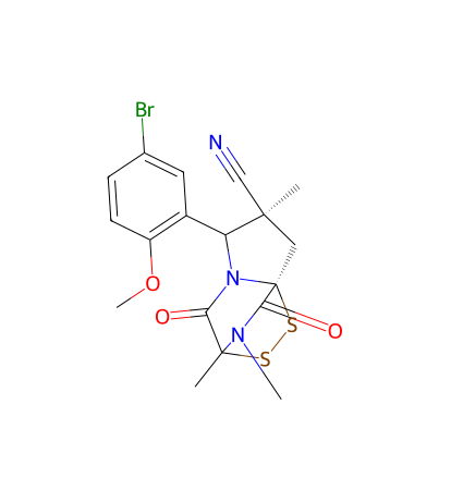 COc1ccc(Br)cc1C1N2C(=O)C3(C)SS[C@@]2(C[C@]1(C)C#N)C(=O)N3C